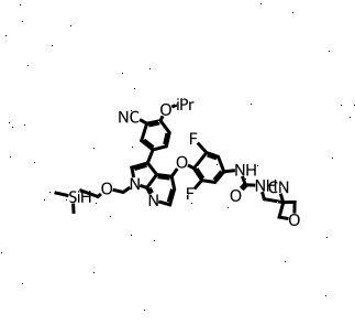 CC(C)Oc1ccc(-c2cn(COCC[SiH](C)C)c3nccc(Oc4c(F)cc(NC(=O)NCC5(C#N)COC5)cc4F)c23)cc1C#N